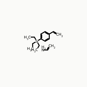 C=CN.C=Cc1ccc([Si](CC)(CC)CC)cc1